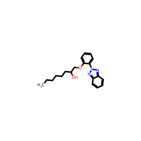 CCCCCCC(O)COc1ccccc1-n1nc2ccccc2n1